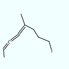 CC=C=C=C(C)CCCI